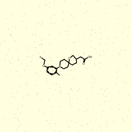 O=C(O)CC1CCC2(CCN(c3cc(OCF)ccc3F)CC2)OC1